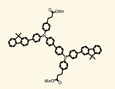 COC(=O)CCc1ccc(N(c2ccc(-c3ccc(N(c4ccc(CCC(=O)OC)cc4)c4ccc(-c5ccc6c(c5)C(C)(C)c5ccccc5-6)cc4)cc3)cc2)c2ccc(-c3ccc4c(c3)C(C)(C)c3ccccc3-4)cc2)cc1